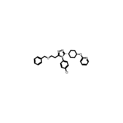 Clc1ccc(-n2c(CCOCc3ccccc3)nnc2[C@H]2CC[C@H](Oc3ccccn3)CC2)cc1